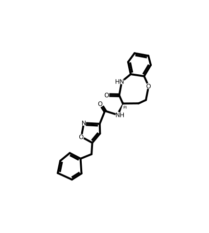 O=C(N[C@@H]1CCOc2ccccc2NC1=O)c1cc(Cc2ccccc2)on1